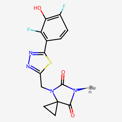 CC[C@H](C)N1C(=O)N(Cc2nnc(-c3ccc(F)c(O)c3F)s2)C2(CC2)C1=O